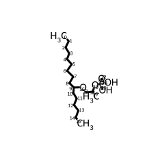 CCCCCCCCCC(CCCCCC)OCC(C)OP(=O)(O)O